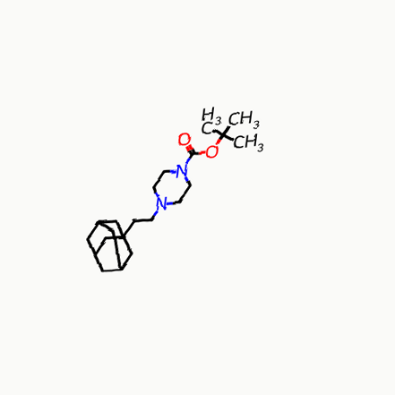 CC(C)(C)OC(=O)N1CCN(CCC23CC4CC(CC(C4)C2)C3)CC1